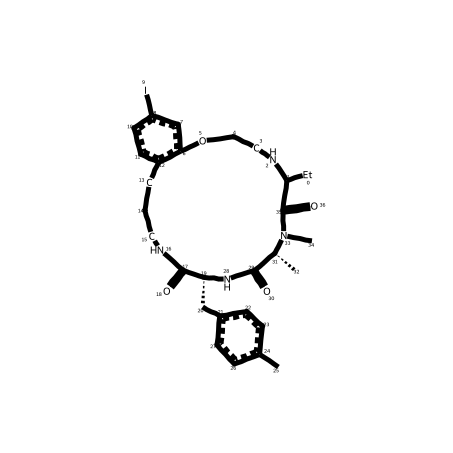 CCC1NCCOc2cc(I)ccc2CCCNC(=O)[C@@H](Cc2ccc(C)cc2)NC(=O)[C@@H](C)N(C)C1=O